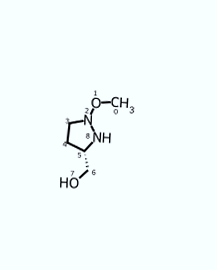 CON1CC[C@@H](CO)N1